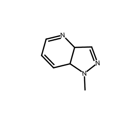 CN1N=CC2N=CC=CC21